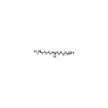 NCCCCCCNCCCCCCO